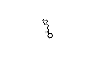 C1CCC(NCCCN2CC[N]CC2)CC1